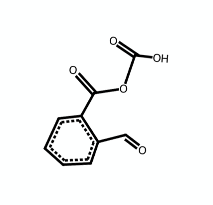 O=Cc1ccccc1C(=O)OC(=O)O